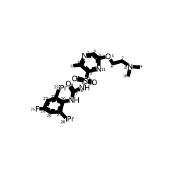 Cc1ncc(OCCN(C)C)nc1S(=O)(=O)NC(=O)Nc1c(C(C)C)cc(F)cc1C(C)C